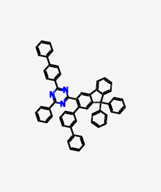 c1ccc(-c2ccc(-c3nc(-c4ccccc4)nc(-c4cc5c(cc4-c4cccc(-c6ccccc6)c4)C(c4ccccc4)(c4ccccc4)c4ccccc4-5)n3)cc2)cc1